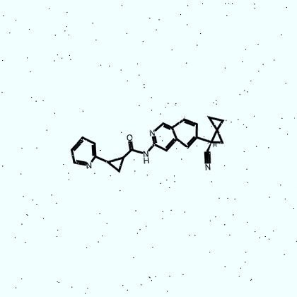 N#C[C@]1(c2ccc3cnc(NC(=O)C4CC4c4ccccn4)cc3c2)CC12CC2